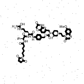 COc1ccc2ncc(=O)n(CCN3CC[C@@H](N(Cc4ccc5c(n4)NC(=O)CO5)C(=O)OCc4ccc(NC(=O)[C@H](CCCNC(N)O)NC(=O)[C@@H](NC(=O)CCCCCN5C(=O)C=CC5=O)C(C)C)cc4)[C@H](F)C3)c2c1